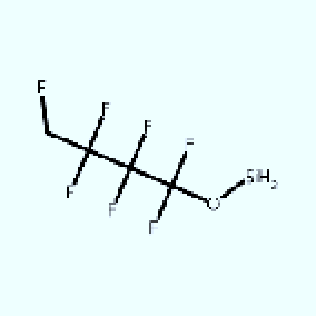 FCC(F)(F)C(F)(F)C(F)(F)O[SiH3]